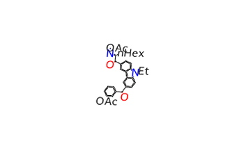 CCCCCC/C(=N\OC(C)=O)C(=O)c1ccc2c(c1)c1cc(C(=O)c3ccccc3OC(C)=O)ccc1n2CC